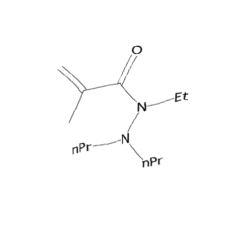 C=C(C)C(=O)N(CC)N(CCC)CCC